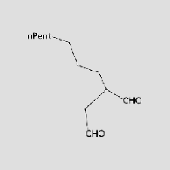 CCCCCCCCC(C=O)CC=O